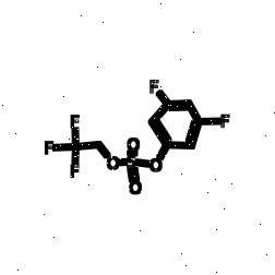 O=S(=O)(OCC(F)(F)F)Oc1cc(F)cc(F)c1